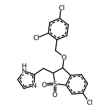 O=S1(=O)c2cc(Cl)ccc2C(OCc2ccc(Cl)cc2Cl)C1Cc1ncc[nH]1